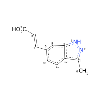 Cc1n[nH]c2cc(C=CC(=O)O)ccc12